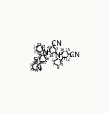 N#Cc1cc(-n2c3ccccc3c3cc(C#N)ccc32)cc(-n2c3ccccc3c3c4sc5cccnc5c4ccc32)c1